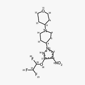 O=[N+]([O-])c1cn(C2CCN(C3CCOCC3)CC2)nc1OC(F)C(F)F